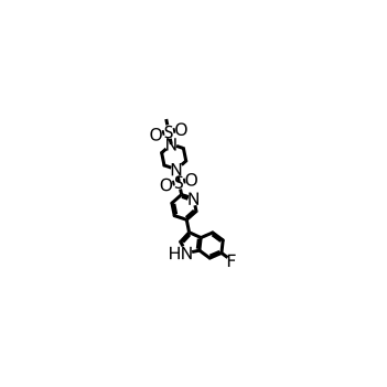 CS(=O)(=O)N1CCN(S(=O)(=O)c2ccc(-c3c[nH]c4cc(F)ccc34)cn2)CC1